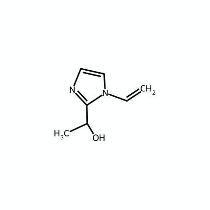 C=Cn1ccnc1C(C)O